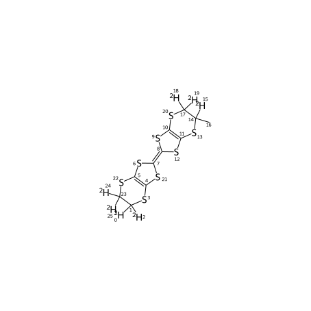 [2H]C1([2H])SC2=C(SC(=C3SC4=C(S3)SC([2H])(C)C([2H])([2H])S4)S2)SC1([2H])[2H]